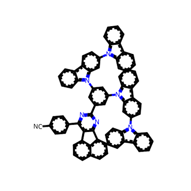 N#Cc1ccc(-c2nc(-c3cc(-n4c5ccccc5c5ccc(-n6c7ccccc7c7ccccc76)cc54)cc(-n4c5ccccc5c5ccc(-n6c7ccccc7c7ccccc76)cc54)c3)nc3c2-c2cccc4cccc-3c24)cc1